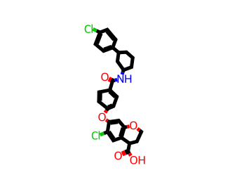 O=C(NC1CCCC(c2ccc(Cl)cc2)C1)c1ccc(Oc2cc3c(cc2Cl)C(C(=O)O)CCO3)cc1